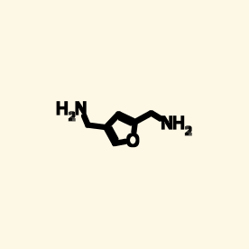 NCc1coc(CN)c1